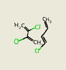 C=C(Cl)C(=C)Cl.C=CC=CCl